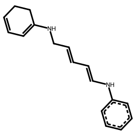 C1=CCCC(NC/C=C/C=C/Nc2ccccc2)=C1